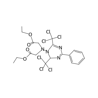 CCOC(=O)CN(CC(=O)OCC)N1C(C(Cl)(Cl)Cl)=NC(c2ccccc2)=NC1C(Cl)(Cl)Cl